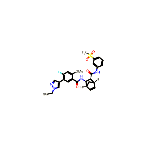 COc1cc(F)c(-c2cnn(CC(C)(C)C)c2)cc1C(=O)N[C@H]1[C@@H](C(=O)Nc2cccc(S(=O)(=O)C(F)(F)F)c2)[C@@H]2C=C[C@H]1C2